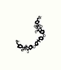 CC(C)(c1ccc(Oc2ccc3c(c2)C(=O)N(OS(=O)(=O)c2ccc(CBr)cc2)C3=O)cc1)c1ccc(Oc2ccc3c(c2)C(=O)N(OS(=O)(=O)c2ccc(CBr)cc2)C3=O)cc1